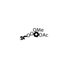 COc1cc(OC(C)=O)ccc1OCOCC[Si](C)(C)C